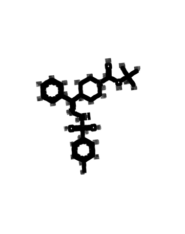 Cc1ccc(S(=O)(=O)N/N=C(/c2ccccc2)C2CCN(C(=O)OC(C)(C)C)CC2)cc1